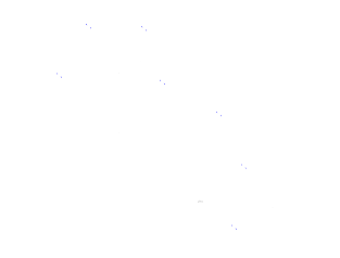 C[C@@H]1CN(c2cccc(CNc3ncnc4[nH]cc(C5CCC(F)CC5)c34)n2)C[C@H](C)N1